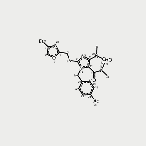 CCc1coc(CSc2nc(N(C)C=O)c(C(=O)N(C)C)n2Cc2ccc(C(C)=O)cc2)n1